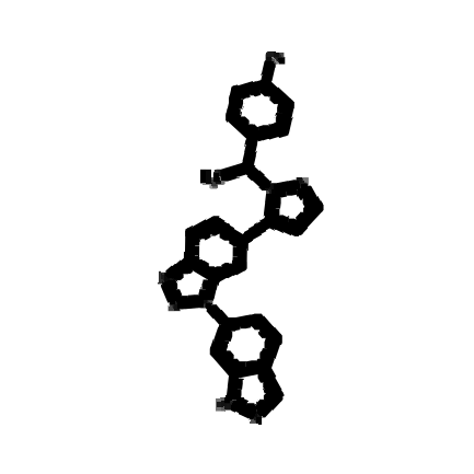 CC(c1ccc(C#N)cc1)n1nccc1-c1ccc2nnn(-c3ccc4cn[nH]c4c3)c2c1